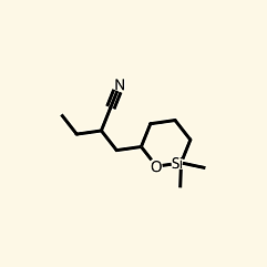 CCC(C#N)CC1CCC[Si](C)(C)O1